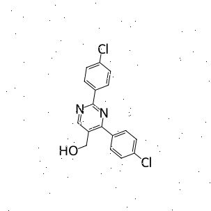 OCc1cnc(-c2ccc(Cl)cc2)nc1-c1ccc(Cl)cc1